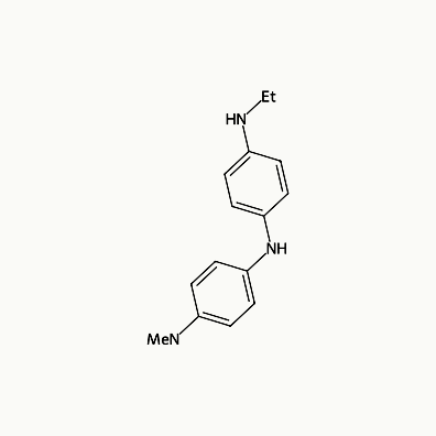 CCNc1ccc(Nc2ccc(NC)cc2)cc1